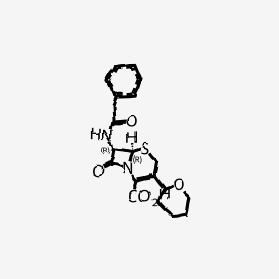 O=C(Cc1ccccc1)N[C@@H]1C(=O)N2C(C(=O)O)=C(C3CCCCO3)CS[C@H]12